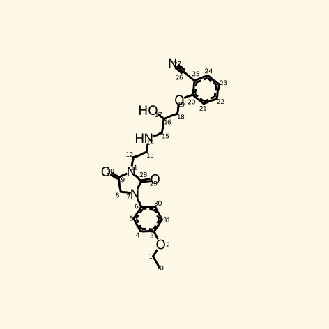 CCOc1ccc(N2CC(=O)N(CCNCC(O)COc3ccccc3C#N)C2=O)cc1